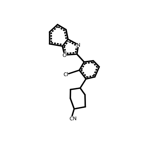 N#CC1CCC(c2cccc(-c3nc4ccccc4o3)c2Cl)CC1